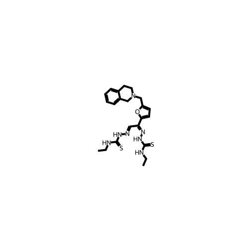 CCNC(=S)N/N=C/C(=N\NC(=S)NCC)c1ccc(CN2CCc3ccccc3C2)o1